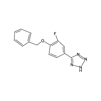 Fc1cc(-c2nn[nH]n2)ccc1OCc1ccccc1